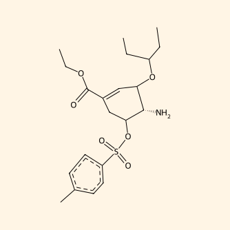 CCOC(=O)C1=CC(OC(CC)CC)[C@H](N)C(OS(=O)(=O)c2ccc(C)cc2)C1